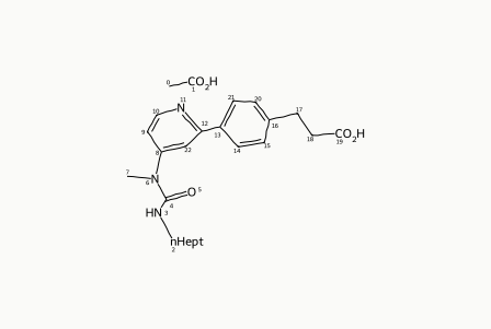 CC(=O)O.CCCCCCCNC(=O)N(C)c1ccnc(-c2ccc(CCC(=O)O)cc2)c1